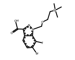 C[Si](C)(C)CCOCn1nc(C(=O)O)c2ccc(Br)c(F)c21